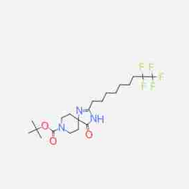 CC(C)(C)OC(=O)N1CCC2(CC1)N=C(CCCCCCCC(F)(F)C(F)(F)F)NC2=O